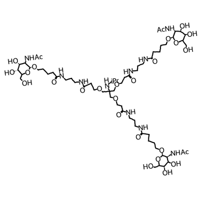 CC(=O)NC1[C@H](OCCCCC(=O)NCCCNC(=O)CCOCC(COCCC(=O)NCCCNC(=O)CCCCO[C@@H]2OC(CO)[C@H](O)[C@H](O)C2NC(C)=O)(COCCC(=O)NCCCNC(=O)CCCCO[C@@H]2OC(CO)[C@H](O)C(O)[C@@H]2NC(C)=O)NC(C)C)OC(CO)[C@H](O)[C@@H]1O